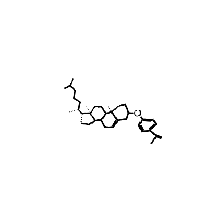 C=C(C)c1ccc(OC2CC[C@@]3(C)C(=CCC4C3CC[C@@]3(C)C4CC[C@@H]3[C@H](C)CCCC(C)C)C2)cc1